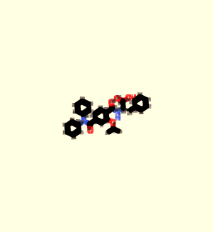 CC(C)Oc1cc(C(=O)N(c2ccccc2)c2ccccc2)ccc1C(=O)N[C@@H](Cc1ccccc1)C(=O)O